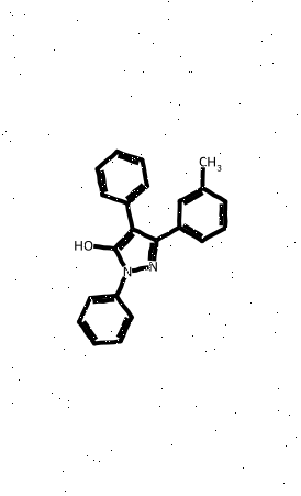 Cc1cccc(-c2nn(-c3ccccc3)c(O)c2-c2ccccc2)c1